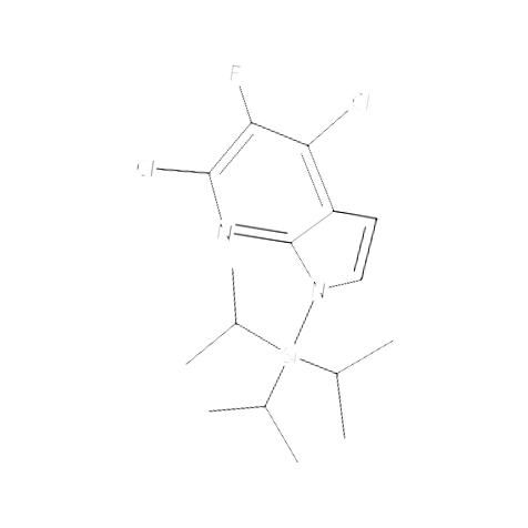 CC(C)[Si](C(C)C)(C(C)C)n1ccc2c(Cl)c(F)c(Cl)nc21